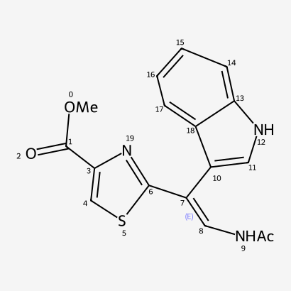 COC(=O)c1csc(/C(=C/NC(C)=O)c2c[nH]c3ccccc23)n1